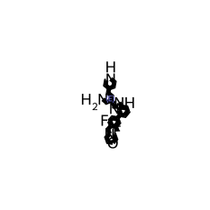 NC/C(=C\CC1CCNCC1)c1nc2c(-c3cc(F)c(CN4CCOCC4)c(F)c3)cccc2[nH]1